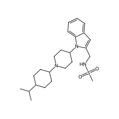 CC(C)C1CCC(N2CCC(n3c(CNS(C)(=O)=O)cc4ccccc43)CC2)CC1